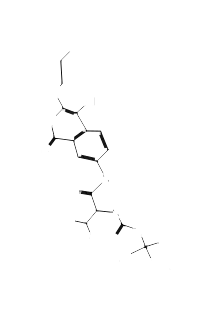 CCCOc1oc(=O)c2cc(NC(=O)C(NC(=O)OC(C)(C)C)C(C)C)ccc2c1Cl